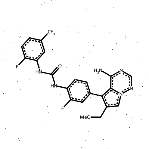 COCc1cn2ncnc(N)c2c1-c1ccc(NC(=O)Nc2cc(C(F)(F)F)ccc2F)c(F)c1